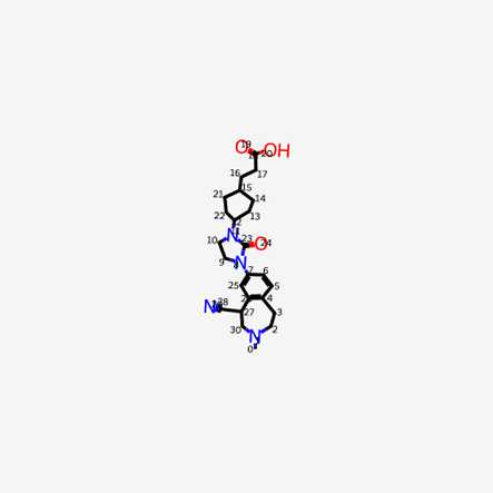 CN1CCc2ccc(N3CCN(C4CCC(CCC(=O)O)CC4)C3=O)cc2C(C#N)C1